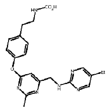 CCc1cnc(NCc2cc(Oc3ccc(CCNC(=O)O)cc3)nc(C)n2)nc1